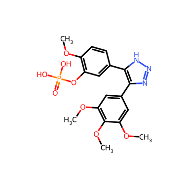 COc1ccc(-c2[nH]nnc2-c2cc(OC)c(OC)c(OC)c2)cc1OP(=O)(O)O